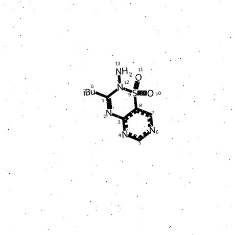 CCC(C)C1=Nc2ncncc2S(=O)(=O)N1N